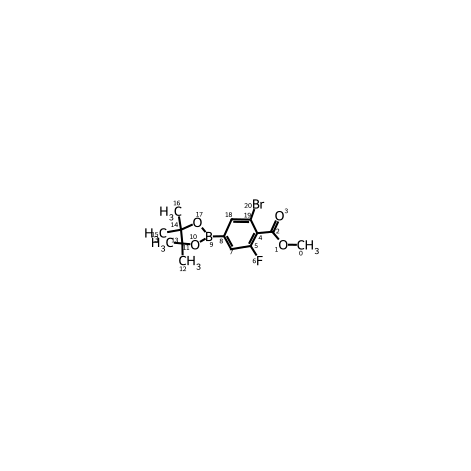 COC(=O)c1c(F)cc(B2OC(C)(C)C(C)(C)O2)cc1Br